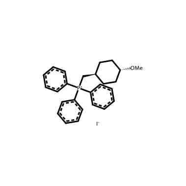 CO[C@H]1CC[C@H](C[P+](c2ccccc2)(c2ccccc2)c2ccccc2)CC1.[I-]